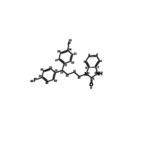 O=c1[nH]c2ccccc2n1CCCC(c1ccc(F)cc1)c1ccc(F)cc1